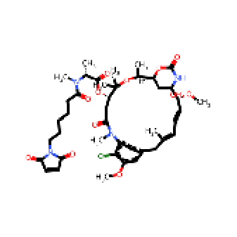 COc1cc2cc(c1Cl)N(C)C(=O)C[C@H](OC(=O)[C@@H](C)N(C)C(=O)CCCCCN1C(=O)C=CC1=O)C(C)(C)OC(C)[C@@H]1C[C@@](O)(NC(=O)O1)[C@H](OC)/C=C/C=C(\C)C2